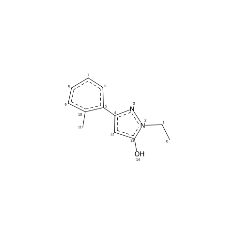 CCn1nc(-c2ccccc2C)cc1O